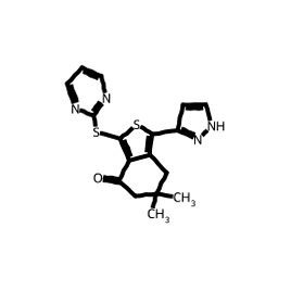 CC1(C)CC(=O)c2c(Sc3ncccn3)sc(-c3cc[nH]n3)c2C1